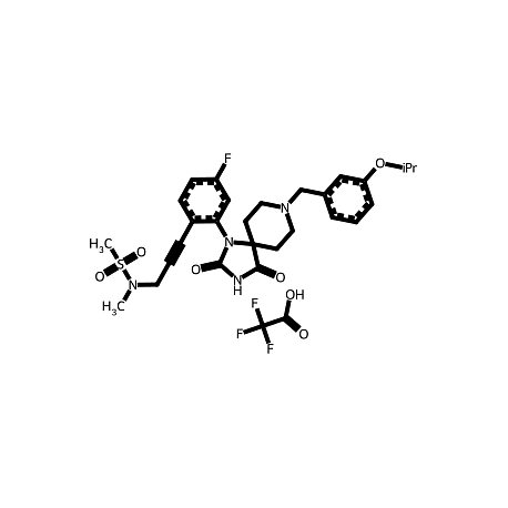 CC(C)Oc1cccc(CN2CCC3(CC2)C(=O)NC(=O)N3c2cc(F)ccc2C#CCN(C)S(C)(=O)=O)c1.O=C(O)C(F)(F)F